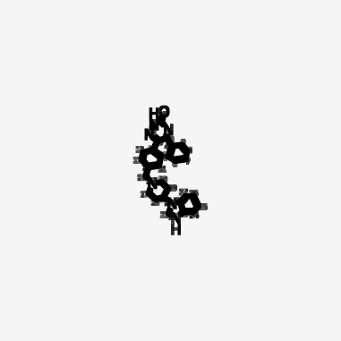 O=c1nc(-c2ccccc2)c(-c2ccc(CN3CCC(N4[CH]Nc5ccccc54)CC3)cc2)n[nH]1